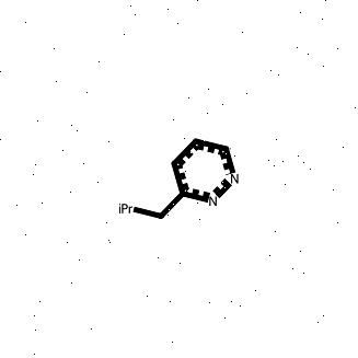 CC(C)Cc1cc[c]nn1